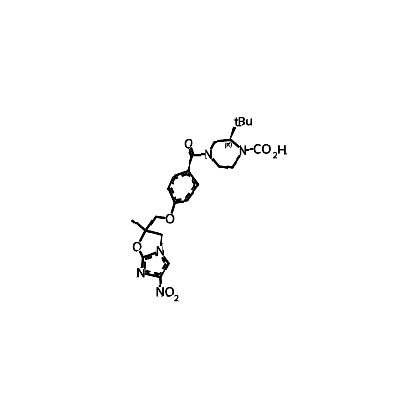 CC1(COc2ccc(C(=O)N3CCN(C(=O)O)[C@H](C(C)(C)C)C3)cc2)Cn2cc([N+](=O)[O-])nc2O1